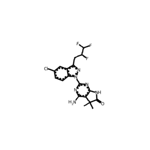 CC1(C)C(=O)Nc2nc(-n3nc(CC(F)C(F)F)c4cc(Cl)ccc43)nc(N)c21